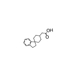 O=C(O)CC1CCC2(CCc3ccccc32)CC1